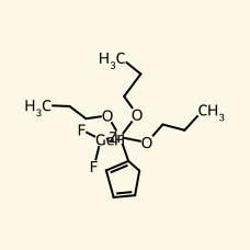 CCC[O][Zr]([O]CCC)([O]CCC)([C]1=CC=CC1)[GeH]([F])[F]